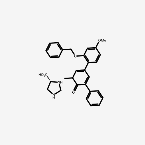 COc1ccc(C2=CC(C)C(=O)C(c3ccccc3)=C2)c(OCc2ccccc2)c1.O=C(O)[C@H]1CNCN1